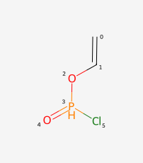 C=CO[PH](=O)Cl